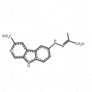 CCOC(=O)C(C)=NNc1ccc2[nH]c3cnc(C(=O)OCC)cc3c2c1